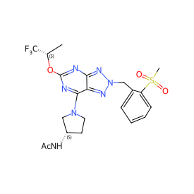 CC(=O)N[C@H]1CCN(c2nc(O[C@@H](C)C(F)(F)F)nc3nn(Cc4ccccc4S(C)(=O)=O)nc23)C1